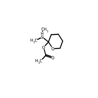 CC(=O)OC1([SiH](C)C)CCCCO1